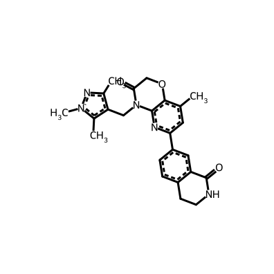 Cc1cc(-c2ccc3c(c2)C(=O)NCC3)nc2c1OCC(=O)N2Cc1c(C)nn(C)c1C